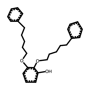 Oc1cccc(OCCCCCc2ccccc2)c1OCCCCCc1ccccc1